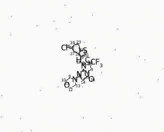 C[C@@]1(C(F)(F)F)Cn2c(nc(N3CCOCC3)cc2=O)N1Cc1csc2ccc(Cl)cc12